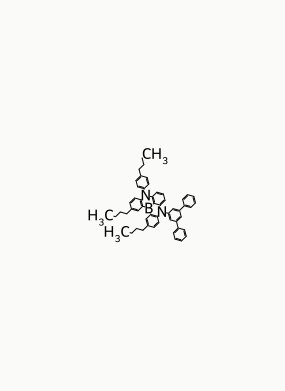 CCCCc1ccc(N2c3ccc(CCCC)cc3B3c4cc(CCCC)ccc4N(c4cc(-c5ccccc5)cc(-c5ccccc5)c4)c4cccc2c43)cc1